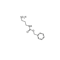 O=C(NCCCS(=O)(=O)O)OCc1ccccc1